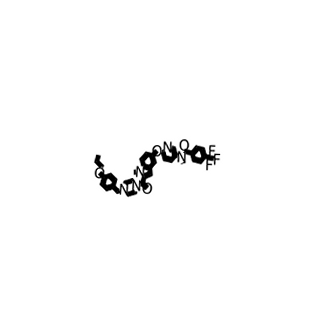 CCCOc1ccc(CN2CCN(C(=O)c3cc4cc(Oc5ccc(N(C)C(=O)c6ccc(C(F)(F)F)cc6)cn5)ccc4n3C)CC2)cc1